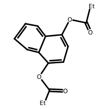 CCC(=O)Oc1ccc(OC(=O)CC)c2ccccc12